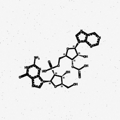 Nc1nc2c(ncn2[C@@H]2O[C@H](CO)[C@@H](O)[C@H]2P(=O)(O)OC[C@H]2O[C@@H](n3cnc4cncnc43)[C@H](O)[C@@H]2O[PH](=O)O)c(=O)[nH]1